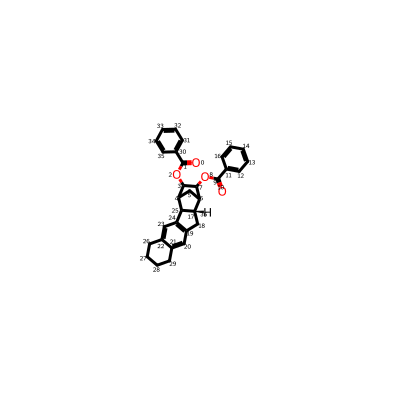 O=C(OC1C2CC(C1OC(=O)c1ccccc1)[C@@H]1Cc3cc4c(cc3C21)CCCC4)c1ccccc1